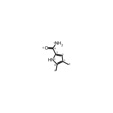 Cc1cc(C(N)=O)[nH]c1C